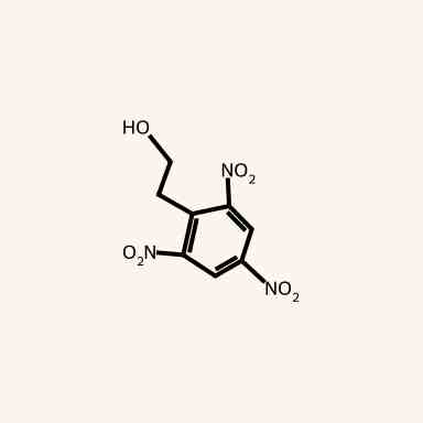 O=[N+]([O-])c1cc([N+](=O)[O-])c(CCO)c([N+](=O)[O-])c1